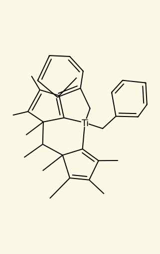 CC1=C(C)C2(C)[C](=C1C)[Ti]([CH2]c1ccccc1)([CH2]c1ccccc1)[C]1=C(C)C(C)=C(C)C1(C)C2C